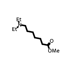 CCN(CC)CCCCCCC(=O)OC